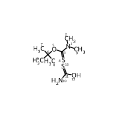 CN(C)C(=S)OC(C)(C)C.NC(O)=S